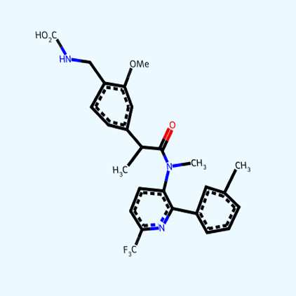 COc1cc(C(C)C(=O)N(C)c2ccc(C(F)(F)F)nc2-c2cccc(C)c2)ccc1CNC(=O)O